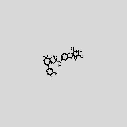 CN1C(=O)NC(=O)[C@@]12Cc1ccc(NC(=O)CN3C(=O)C(C)(C)CC[C@@H]3c3ccc(F)c(F)c3)cc1C2